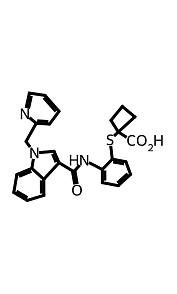 O=C(Nc1ccccc1SC1(C(=O)O)CCC1)c1cn(Cc2ccccn2)c2ccccc12